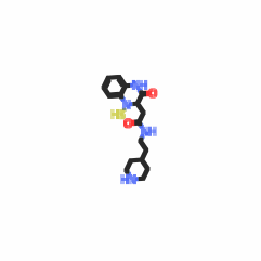 O=C(CC1C(=O)Nc2ccccc2N1S)NCCC1CCNCC1